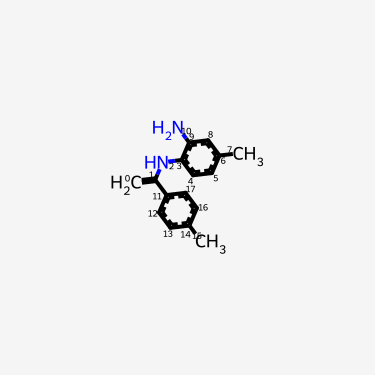 C=C(Nc1ccc(C)cc1N)c1ccc(C)cc1